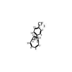 FC(F)(F)c1ccc(P2C3C=CC=CC2C=C3)cc1